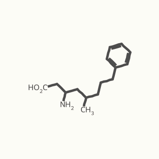 CC(CCCc1ccccc1)CC(N)CC(=O)O